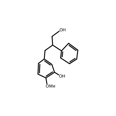 COc1ccc(CC(CO)c2ccccc2)cc1O